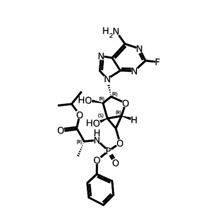 CC(C)OC(=O)[C@@H](C)NP(=O)(Oc1ccccc1)OC1[C@H]2O[C@@H](n3cnc4c(N)nc(F)nc43)[C@H](O)[C@@]12O